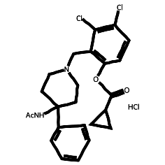 CC(=O)NC1(c2ccccc2)CCN(Cc2c(OC(=O)C3CC3)ccc(Cl)c2Cl)CC1.Cl